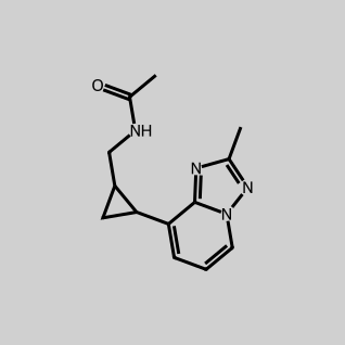 CC(=O)NCC1CC1c1cccn2nc(C)nc12